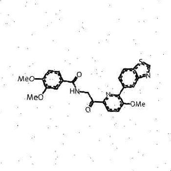 COc1ccc(C(=O)NCC(=O)c2ccc(OC)c(-c3ccc4scnc4c3)n2)cc1OC